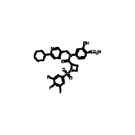 O=C(O)c1ccc(N(Cc2cnc(C3CCCCC3)cn2)C(=O)C2CCN2S(=O)(=O)c2cc(F)c(F)c(F)c2)cc1O